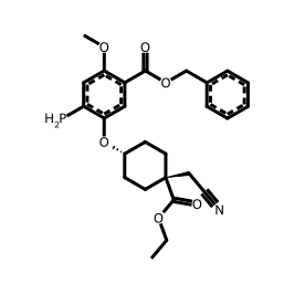 CCOC(=O)[C@]1(CC#N)CC[C@H](Oc2cc(C(=O)OCc3ccccc3)c(OC)cc2P)CC1